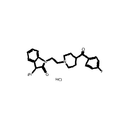 CC(C)C1C(=O)N(CCN2CCC(C(=O)c3ccc(F)cc3)CC2)c2ccccc21.Cl